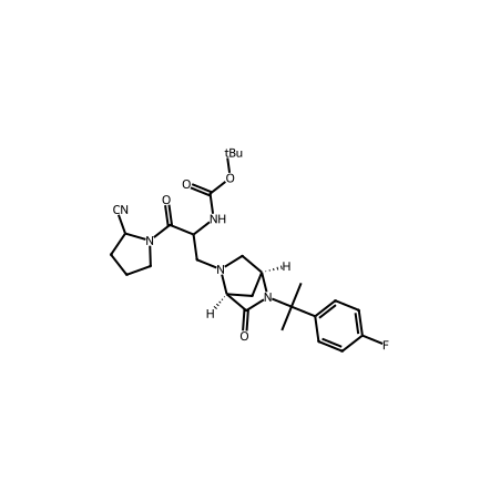 CC(C)(C)OC(=O)NC(CN1C[C@@H]2C[C@H]1C(=O)N2C(C)(C)c1ccc(F)cc1)C(=O)N1CCCC1C#N